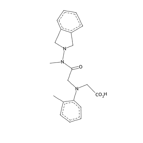 Cc1ccccc1N(CC(=O)O)CC(=O)N(C)N1Cc2ccccc2C1